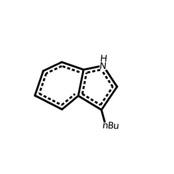 CC[CH]Cc1c[nH]c2ccccc12